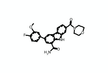 COc1cc(-c2cc(C(N)=O)c3[nH]c4cc(C(=O)N5CCOCC5)ccc4c3c2)ccc1F